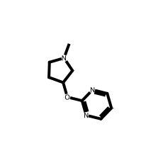 CN1CCC(Oc2nc[c]cn2)C1